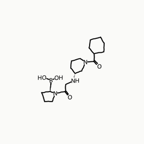 O=C(C1CCCCC1)N1CCC[C@@H](NCC(=O)N2CCC[C@H]2B(O)O)C1